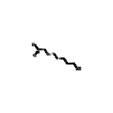 OCCCCCCC[SiH](Cl)Cl